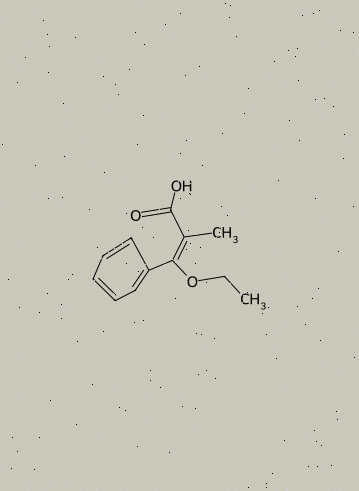 CCO/C(=C(\C)C(=O)O)c1ccccc1